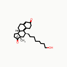 C[C@]12C[C@H](CCCCCCCCO)C3=C4CCC(=O)C=C4CC[C@H]3[C@@H]1CCC2=O